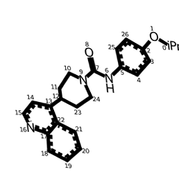 CC(C)Oc1ccc(NC(=O)N2CCC(c3ccnc4ccccc34)CC2)cc1